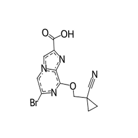 N#CC1(COc2nc(Br)cn3cc(C(=O)O)nc23)CC1